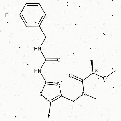 CO[C@H](C)C(=O)N(C)Cc1nc(NC(=O)NCc2cccc(F)c2)sc1F